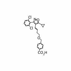 O=C(O)c1ccc(COCC/C=C/c2c(-c3c(Cl)cccc3Cl)noc2C2CC2)cc1